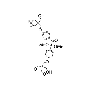 COC(OC)(C(=O)c1ccc(OCC(CO)(CO)CO)cc1)c1ccc(OCC(CO)(CO)CO)cc1